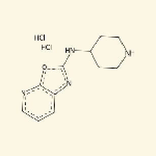 Cl.Cl.c1cnc2oc(NC3CCNCC3)nc2c1